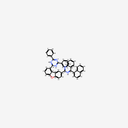 c1ccc(-c2nc(-c3ccccc3)nc(-c3cccc4oc5ccc(-c6nc(-c7cccc8ccccc78)c7ccccc7n6)cc5c34)n2)cc1